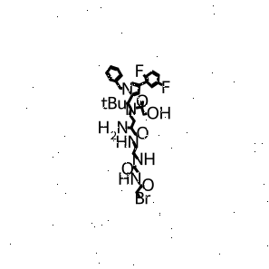 CC(C)(C)C(c1cc(-c2cc(F)ccc2F)cn1Cc1ccccc1)N(CCC(N)C(=O)NCCNC(=O)CNC(=O)CBr)C(=O)CO